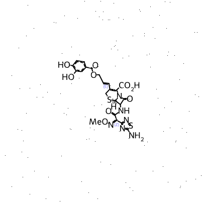 CO/N=C(\C(=O)NC1C(=O)N2C(C(=O)O)=C(/C=C/COC(=O)c3ccc(O)c(O)c3)CS[C@H]12)c1nsc(N)n1